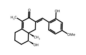 COc1ccc(C=C2C[C@@]3(C)C(=C(C)C2=O)CCC[C@@H]3O)c(O)c1